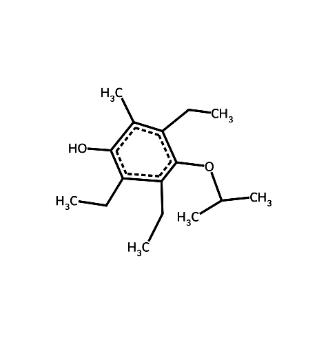 CCc1c(O)c(C)c(CC)c(OC(C)C)c1CC